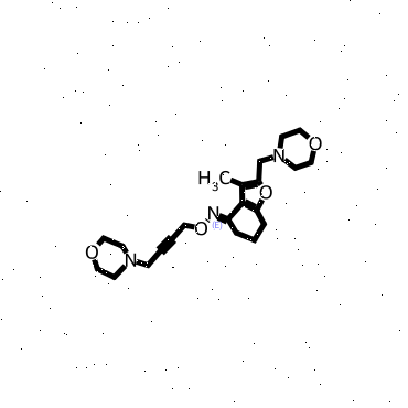 Cc1c(CN2CCOCC2)oc2c1/C(=N/OCC#CCN1CCOCC1)CCC2